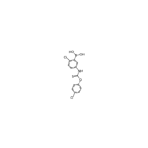 OB(O)c1cc(NC(=S)Oc2ccc(Cl)cc2)ccc1Cl